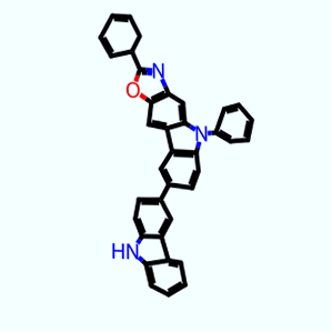 C1=CCC(c2nc3cc4c(cc3o2)c2cc(-c3ccc5[nH]c6ccccc6c5c3)ccc2n4-c2ccccc2)C=C1